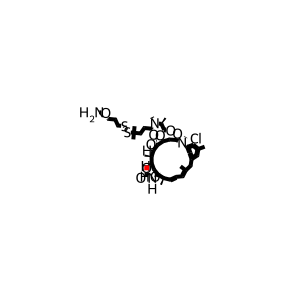 C/C1=C\C=C\[C@@H](C)[C@@]2(O)C[C@H](OC(=O)N2)[C@@H](C)[C@@H]2O[C@@]2(C)[C@@H](OC(=O)[C@H](C)N(C)C(=O)CCC(C)(C)SSCCCON)CC(=O)N(C)c2cc(cc(C)c2Cl)C1